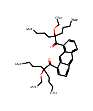 COCCCC(CCCOC)(OCOC)C(=O)c1cccc2cc3cccc(C(=O)C(CCCOC)(CCCOC)OCOC)c3cc12